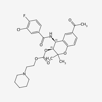 CC(=O)c1ccc2c(c1)[C@H](NC(=O)c1ccc(F)c(Cl)c1)[C@H](OC(=O)OCCN1CCCCC1)C(C)(C)O2